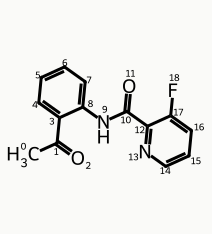 CC(=O)c1ccccc1NC(=O)c1ncccc1F